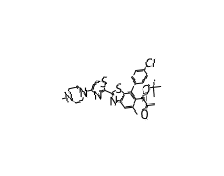 CC(=O)[C@@H](OC(C)(C)C)c1c(C)cc2nc(-c3nc(N4CCN(C)CC4)cs3)sc2c1-c1ccc(Cl)cc1